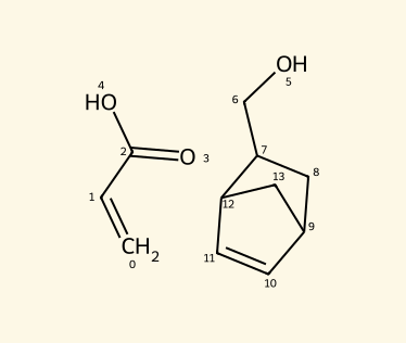 C=CC(=O)O.OCC1CC2C=CC1C2